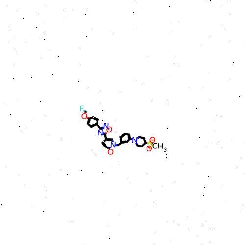 CS(=O)(=O)C1CCN(c2cccc(Cn3cc(-c4nc(-c5ccc(OCF)cc5)no4)ccc3=O)c2)CC1